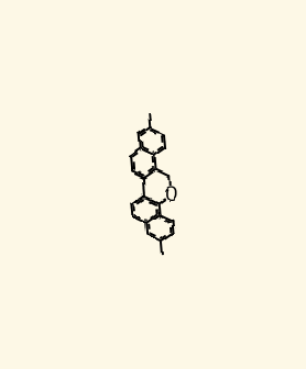 Cc1ccc2c3c(ccc2c1)-c1ccc2cc(C)ccc2c1OC3